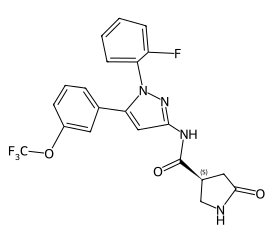 O=C1C[C@H](C(=O)Nc2cc(-c3cccc(OC(F)(F)F)c3)n(-c3ccccc3F)n2)CN1